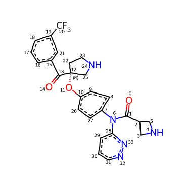 O=C(C1CNC1)N(c1ccc(O[C@]2(C(=O)c3cccc(C(F)(F)F)c3)CCNC2)cc1)c1cccnn1